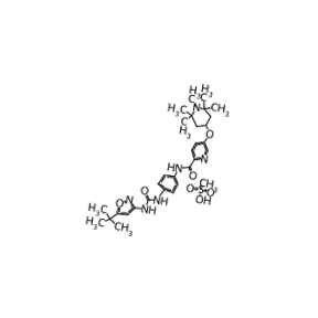 CN1C(C)(C)CC(Oc2ccc(C(=O)Nc3ccc(NC(=O)Nc4cc(C(C)(C)C)on4)cc3)nc2)CC1(C)C.CS(=O)(=O)O